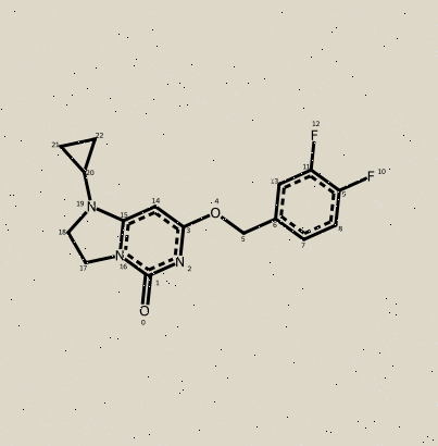 O=c1nc(OCc2ccc(F)c(F)c2)cc2n1CCN2C1CC1